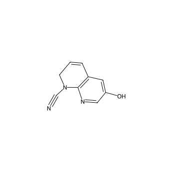 N#CN1CC=Cc2cc(O)cnc21